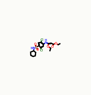 CCOC(=O)C=C(Nc1cc(Cl)c(S(=O)(=O)NC2CCCCC2)cc1Cl)OCC